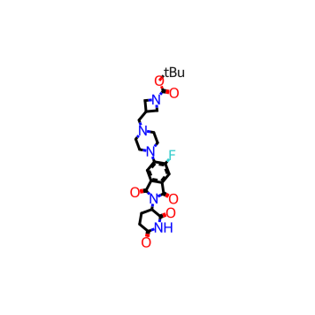 CC(C)(C)OC(=O)N1CC(CN2CCN(c3cc4c(cc3F)C(=O)N(C3CCC(=O)NC3=O)C4=O)CC2)C1